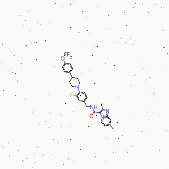 Cc1ccn2c(C(=O)NCc3ccc(N4CCC(c5ccc(OC(F)(F)F)cc5)CC4)c(F)c3)c(C)nc2c1